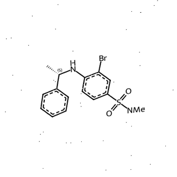 CNS(=O)(=O)c1ccc(N[C@@H](C)c2ccccc2)c(Br)c1